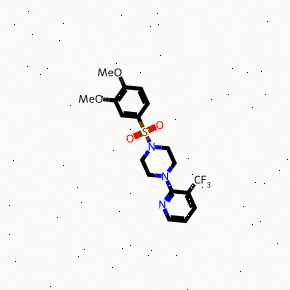 COc1ccc(S(=O)(=O)N2CCN(c3ncccc3C(F)(F)F)CC2)cc1OC